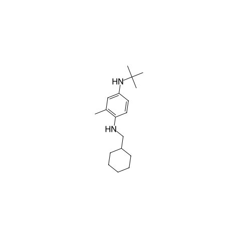 Cc1cc(NC(C)(C)C)ccc1NCC1CCCCC1